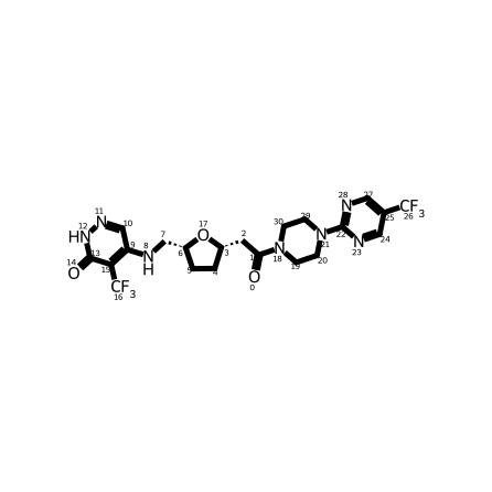 O=C(C[C@@H]1CC[C@H](CNc2cn[nH]c(=O)c2C(F)(F)F)O1)N1CCN(c2ncc(C(F)(F)F)cn2)CC1